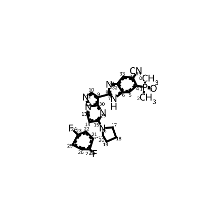 CP(C)(=O)c1cc2[nH]c(-c3cnn4ccc(N5CCC[C@@H]5c5cc(F)ccc5F)nc34)nc2cc1C#N